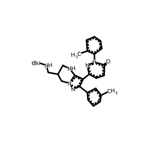 Cc1cccc(-c2nn3c(c2-c2ccc(=O)n(-c4ccccc4C)n2)NCC(CNC(C)(C)C)C3)c1